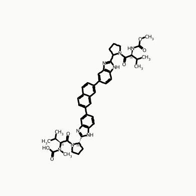 COC(=O)N[C@H](C(=O)N1CCCC1c1nc2cc(-c3ccc4ccc(-c5ccc6[nH]c([C@@H]7CCCN7C(=O)[C@H](C(C)C)N(C)C(=O)O)nc6c5)cc4c3)ccc2[nH]1)C(C)C